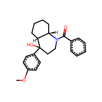 COc1ccc(C2(O)CCN(C(=O)c3ccccc3)[C@H]3CCCC[C@@H]32)cc1